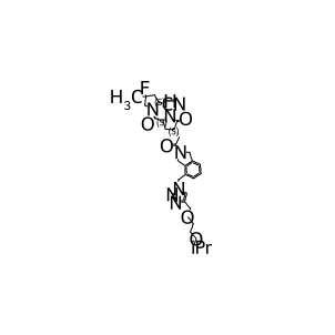 CC(C)OCCOCc1cn(Cc2cccc3c2CN(C(=O)C[C@@H]2C[C@@H](C(=O)N4CC(C)(F)C[C@H]4C#N)NC2=O)C3)nn1